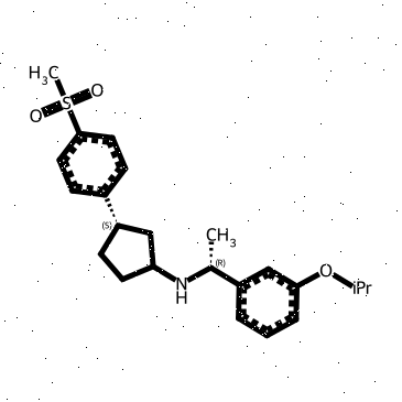 CC(C)Oc1cccc([C@@H](C)NC2CC[C@H](c3ccc(S(C)(=O)=O)cc3)C2)c1